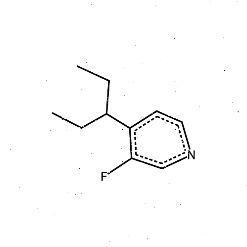 CCC(CC)c1ccncc1F